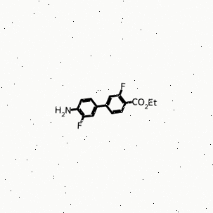 CCOC(=O)c1ccc(-c2ccc(N)c(F)c2)cc1F